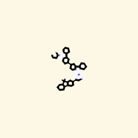 CC1(C)c2ccccc2-c2ccc(-c3ccnc(-n4c5ccccc5c5cc(-c6ccc7c(c6)c6ccccc6n7-c6ccccc6)ccc54)n3)cc21